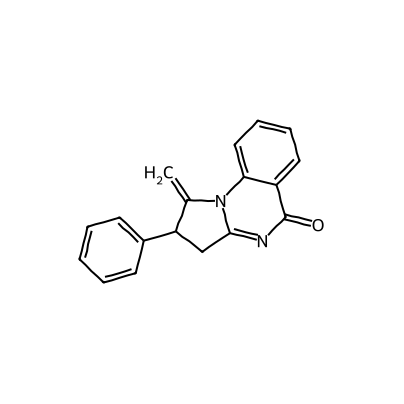 C=C1C(c2ccccc2)Cc2nc(=O)c3ccccc3n21